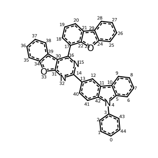 c1ccc(-n2c3ccccc3c3cc(-c4nc(-c5cccc6c5oc5ccccc56)c5c(n4)oc4ccccc45)ccc32)cc1